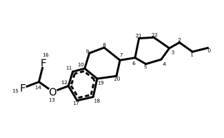 CCCC1CCC(C2CCc3cc(OC(F)F)ccc3C2)CC1